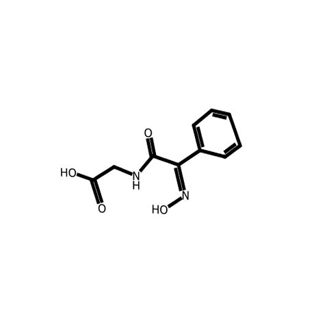 O=C(O)CNC(=O)C(=NO)c1ccccc1